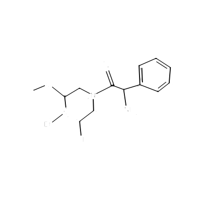 CCOC(CN(CCC(C)C)C(=O)C(N)c1ccccc1)OCC